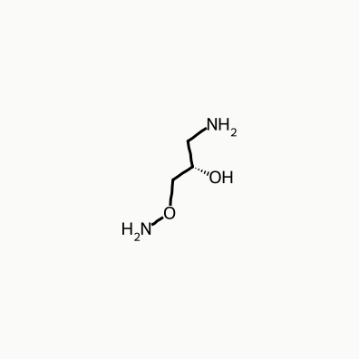 NC[C@H](O)CON